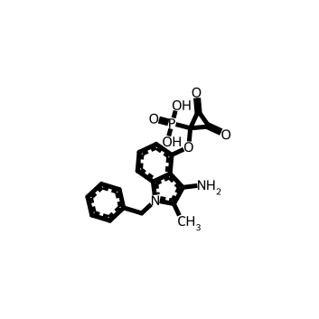 Cc1c(N)c2c(OC3(P(=O)(O)O)C(=O)C3=O)cccc2n1Cc1ccccc1